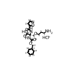 Cl.NCCCOC[C@@](NC(=O)OCc1ccccc1)(NC(=O)c1ccno1)C(=O)O